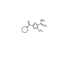 C=C(N)c1oc(C(=O)N2CCCCC2)cc1C